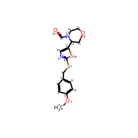 COc1ccc(CSc2ncc(C3COCCN3C=O)s2)cc1